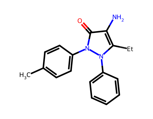 CCc1c(N)c(=O)n(-c2ccc(C)cc2)n1-c1ccccc1